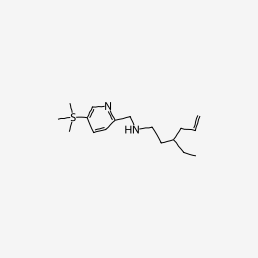 C=CCC(CC)CCNCc1ccc(S(C)(C)C)cn1